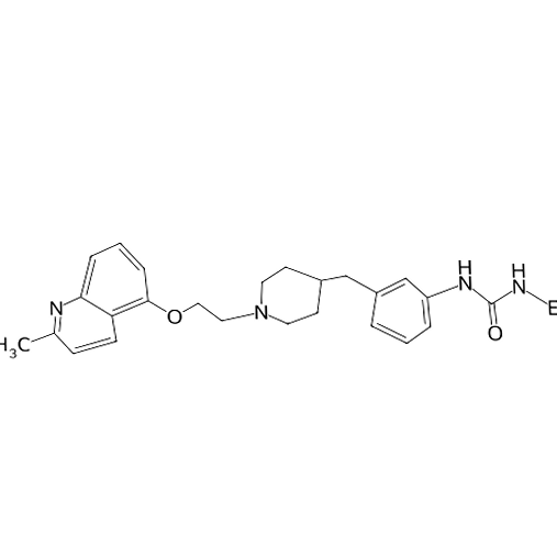 CCNC(=O)Nc1cccc(CC2CCN(CCOc3cccc4nc(C)ccc34)CC2)c1